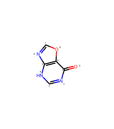 O=c1nc[nH]c2ncoc12